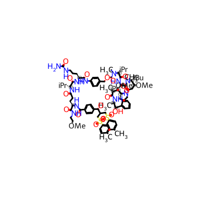 CC[C@@H](C)[C@H]([C@H](CC(=O)N1CCC[C@H]1[C@H](OC)[C@H](C)C(=O)N[C@H](C)[C@@H](O)c1ccccc1)OC)N(C)C(=O)[C@H](NC(=O)[C@@H](C(C)C)N(C)C(=O)OCc1ccc(NC(=O)[C@H](CCCNC(N)=O)NC(=O)[C@H](NC(=O)CC[C@@H](NC(=O)c2ccc(C(=O)C(CS(=O)(=O)c3ccc(C)cc3)CS(=O)(=O)c3ccc(C)cc3)cc2)C(=O)NCCOC)C(C)C)cc1)C(C)C